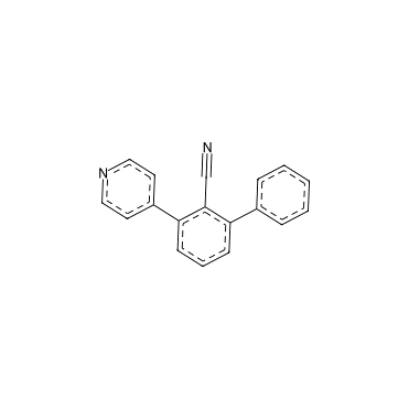 N#Cc1c(-c2ccccc2)cccc1-c1ccncc1